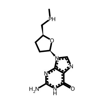 CPC[C@@H]1CC[C@H](n2cnc3c(=O)[nH]c(N)nc32)O1